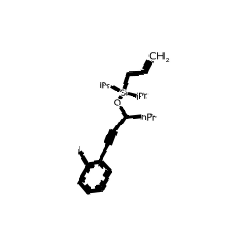 C=CC[Si](OC(C#Cc1ccccc1I)CCC)(C(C)C)C(C)C